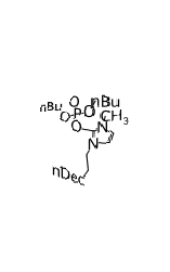 CCCCCCCCCCCCN1C=CN(C)C1OP(=O)(OCCCC)OCCCC